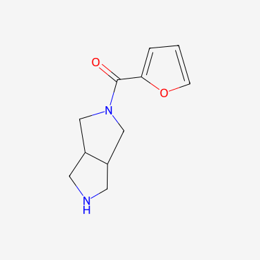 O=C(c1ccco1)N1CC2CNCC2C1